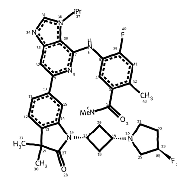 CNC(=O)c1cc(Nc2nc(-c3ccc4c(c3)N([C@H]3C[C@@H](N5CC[C@@H](F)C5)C3)C(=O)C4(C)C)cc3ncn(C(C)C)c23)c(F)cc1C